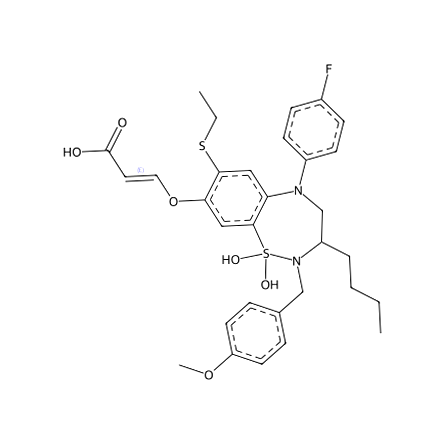 CCCCC1CN(c2ccc(F)cc2)c2cc(SCC)c(O/C=C/C(=O)O)cc2S(O)(O)N1Cc1ccc(OC)cc1